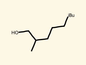 CCC(C)CCCC(C)CO